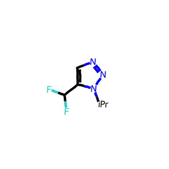 CC(C)n1nncc1C(F)F